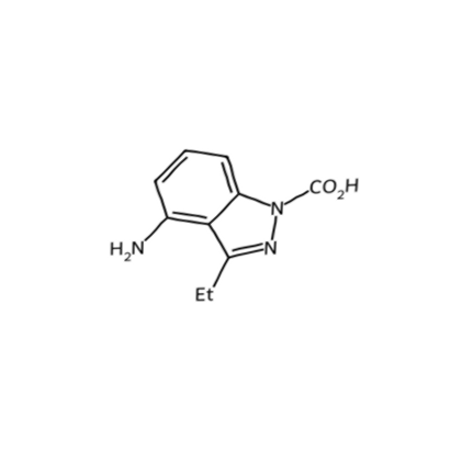 CCc1nn(C(=O)O)c2cccc(N)c12